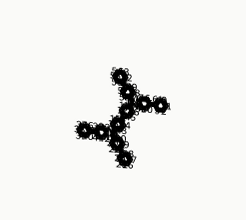 C1=CCCC(C2C=CC(N(C3=CCC(c4ccc(N(c5ccc(-c6ccccc6)cc5)C5C=CC(c6ccccc6)=CC5)cc4)C=C3)c3ccc(C4C=CC=CC4)cc3)=CC2)=C1